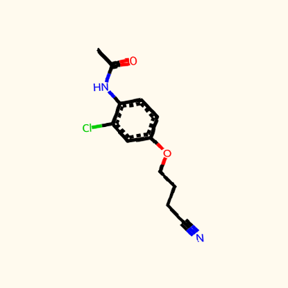 CC(=O)Nc1ccc(OCCCC#N)cc1Cl